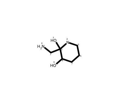 NCC1(O)[N]CCCC1O